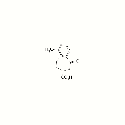 Cc1cccc2c1CCC(C(=O)O)CC2=O